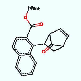 CCCCCOC(=O)c1ccc2ccccc2c1C1CC2C=CC1C2=O